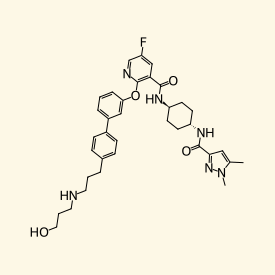 Cc1cc(C(=O)N[C@H]2CC[C@H](NC(=O)c3cc(F)cnc3Oc3cccc(-c4ccc(CCCNCCCO)cc4)c3)CC2)nn1C